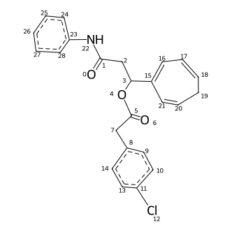 O=C(CC(OC(=O)Cc1ccc(Cl)cc1)C1=CC=CCC=C1)Nc1ccccc1